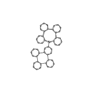 c1ccc2c(c1)-c1ccccc1-c1ccc(-n3c4ccccc4c4ccccc4c4ccccc4c4ccccc43)cc1-c1ccccc1-2